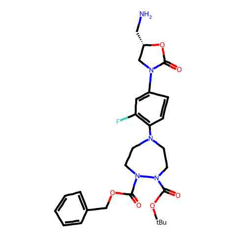 CC(C)(C)OC(=O)N1CCN(c2ccc(N3C[C@H](CN)OC3=O)cc2F)CCN1C(=O)OCc1ccccc1